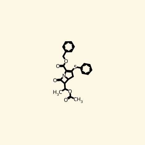 CC(=O)OC(C)C1C(=O)N2C(C(=O)OCc3ccccc3)=C(Sc3ccccc3)CC12